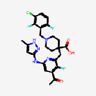 CC(=O)c1cc(Nc2cc(C)[nH]n2)nc(CC2(C(=O)O)CCN(Cc3c(F)ccc(Cl)c3F)CC2)c1F